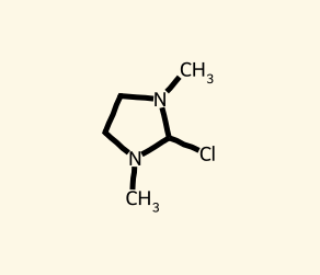 CN1CCN(C)C1Cl